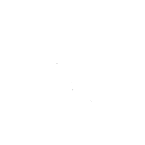 CCC(CC)Oc1ccc2c(C(=O)NC3CCN(C)CC3)nn(C)c2n1